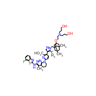 Cc1c(Nc2nc3cccc(F)c3s2)nnc2c1CCCN2c1ccc(-c2cnn(CC34CC5(C)CC(C)(C3)CC(OCCN(CCCO)CCCO)(C5)C4)c2C)c(C(=O)O)n1